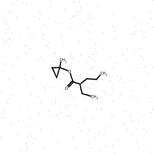 CCCC(CC)C(=O)OC1(C)CC1